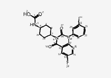 O=C(O)N[C@H]1CC[C@@H](n2c(=O)c3cc(F)cnc3n(-c3cccc(I)c3)c2=O)CC1